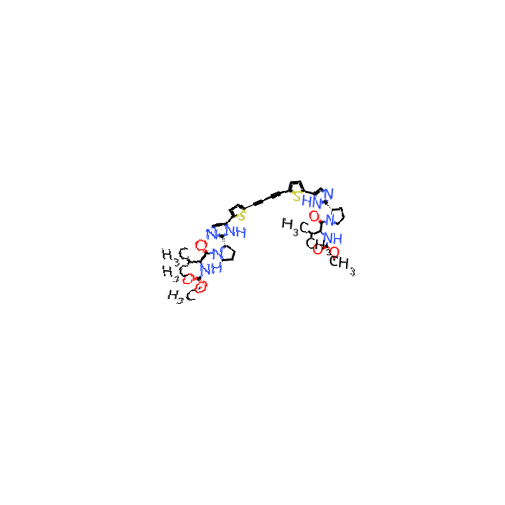 COC(=O)N[C@H](C(=O)N1CCC[C@H]1c1ncc(-c2ccc(C#CC#Cc3ccc(-c4cnc([C@@H]5CCCN5C(=O)[C@@H](NC(=O)OC)C(C)C)[nH]4)s3)s2)[nH]1)C(C)C